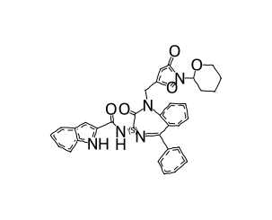 O=C(N[C@H]1N=C(c2ccccc2)c2ccccc2N(Cc2cc(=O)n(C3CCCCO3)o2)C1=O)c1cc2ccccc2[nH]1